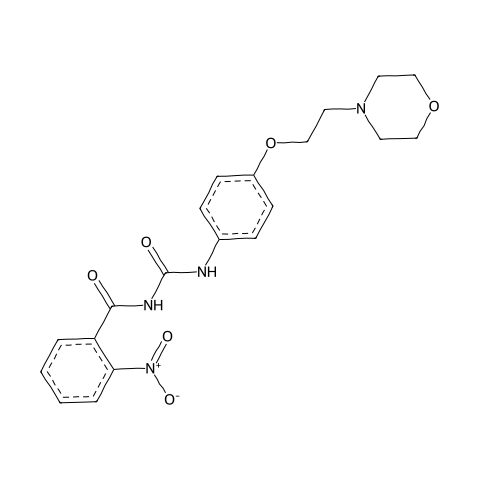 O=C(NC(=O)c1ccccc1[N+](=O)[O-])Nc1ccc(OCCN2CCOCC2)cc1